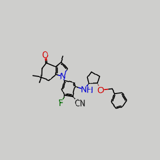 Cc1cn(-c2cc(F)c(C#N)c(N[C@H]3CCC[C@@H]3OCc3ccccc3)c2)c2c1C(=O)CC(C)(C)C2